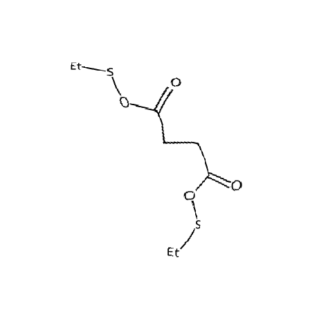 CCSOC(=O)CCC(=O)OSCC